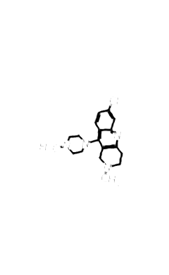 CN1CCN(c2c3c(nc4cc(Cl)ccc24)CCN(C)C3)CC1